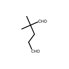 CC(C)([C]=O)CCC=O